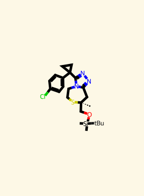 CC(C)(C)[Si](C)(C)OC[C@]1(C)Cc2nnc(C3(c4ccc(Cl)cc4)CC3)n2CCS1